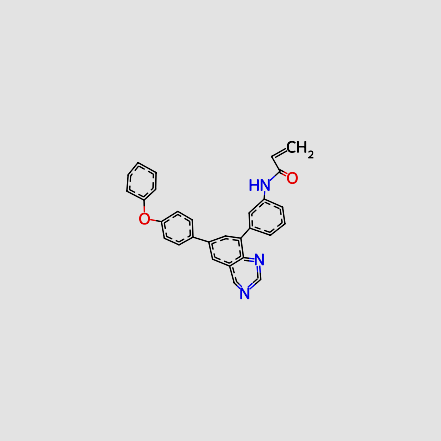 C=CC(=O)Nc1cccc(-c2cc(-c3ccc(Oc4ccccc4)cc3)cc3cncnc23)c1